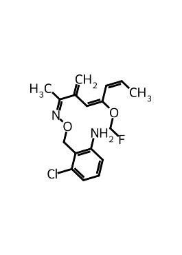 C=C(/C=C(\C=C/C)OCF)C(C)=NOCc1c(N)cccc1Cl